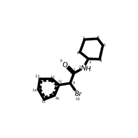 O=C(NC1CCCCC1)C(Br)c1ccccc1